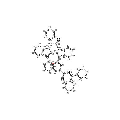 c1ccc(-c2nc(-c3cccc(-n4c5ccccc5c5c6oc7ccccc7c6c6c7ccccc7n(-c7ccccc7)c6c54)c3)nc3ccccc23)cc1